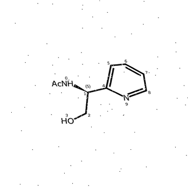 CC(=O)N[C@H](CO)c1ccccn1